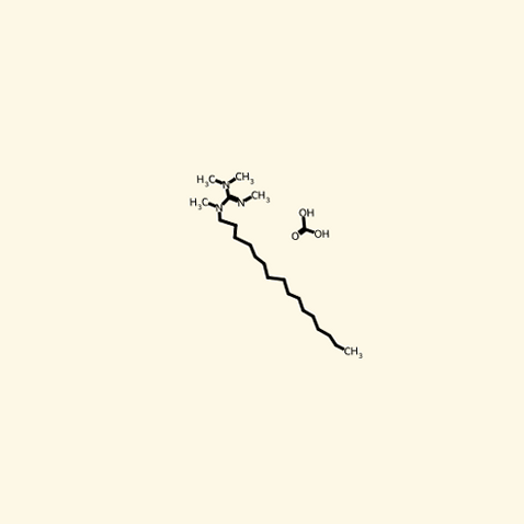 CCCCCCCCCCCCCCCCN(C)C(=NC)N(C)C.O=C(O)O